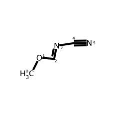 COC=NC#N